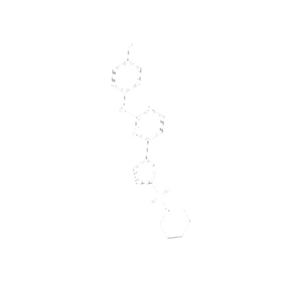 O=S(=O)(c1ccc(-c2ccnc(Nc3ccc(Br)cc3)n2)s1)N1CCCCC1